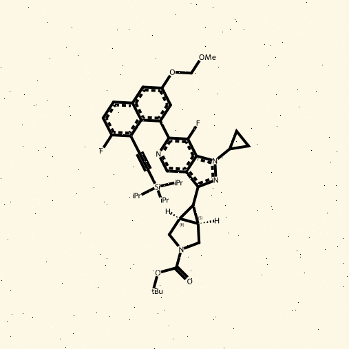 COCOc1cc(-c2ncc3c(C4[C@H]5CN(C(=O)OC(C)(C)C)C[C@@H]45)nn(C4CC4)c3c2F)c2c(C#C[Si](C(C)C)(C(C)C)C(C)C)c(F)ccc2c1